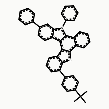 CC(C)(C)c1ccc(-c2cccc3c2sc2c4ccccc4c4c(c5ccc(-c6ccccc6)cc5n4-c4ccccc4)c32)cc1